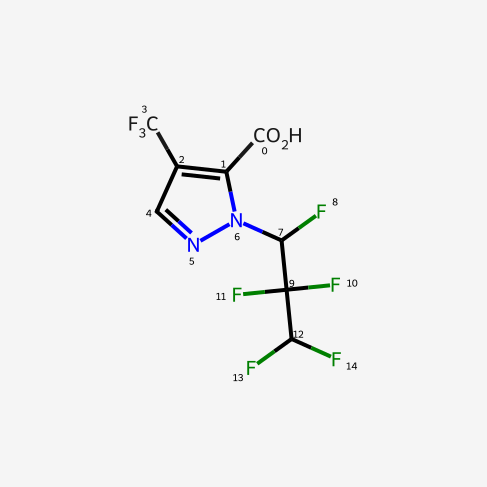 O=C(O)c1c(C(F)(F)F)cnn1C(F)C(F)(F)C(F)F